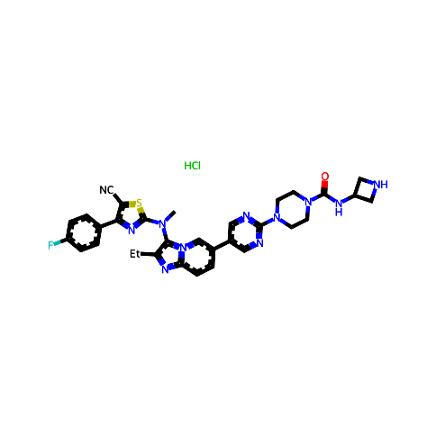 CCc1nc2ccc(-c3cnc(N4CCN(C(=O)NC5CNC5)CC4)nc3)cn2c1N(C)c1nc(-c2ccc(F)cc2)c(C#N)s1.Cl